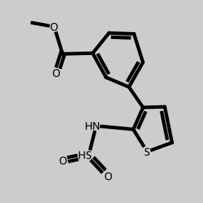 COC(=O)c1cccc(-c2ccsc2N[SH](=O)=O)c1